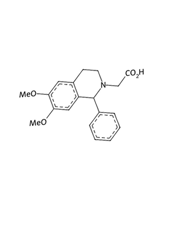 COc1cc2c(cc1OC)C(c1ccccc1)N(CC(=O)O)CC2